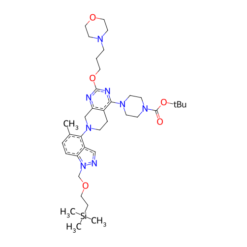 Cc1ccc2c(cnn2COCC[Si](C)(C)C)c1N1CCc2c(nc(OCCCN3CCOCC3)nc2N2CCN(C(=O)OC(C)(C)C)CC2)C1